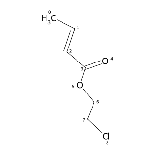 CC=CC(=O)OCCCl